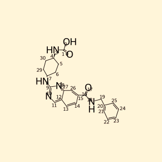 O=C(O)N[C@H]1CC[C@H](Nc2ncc3ccc(C(=O)NCc4ccccc4)cc3n2)CC1